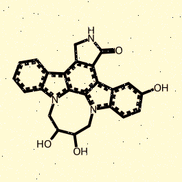 O=C1NCc2c1c1c3cc(O)ccc3n3c1c1c2c2ccccc2n1CC(O)C(O)C3